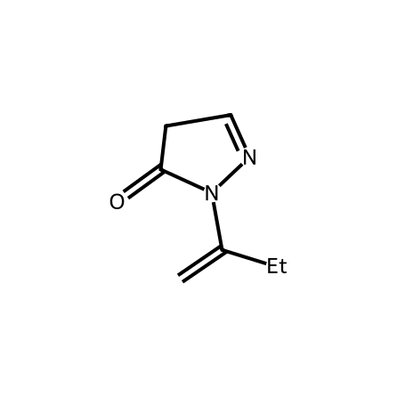 C=C(CC)N1N=CCC1=O